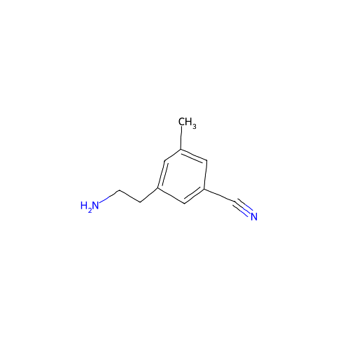 Cc1cc(C#N)cc(CCN)c1